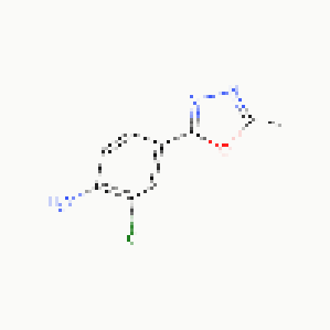 Cc1nnc(-c2ccc(N)c(Cl)c2)o1